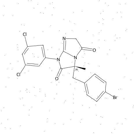 C[C@@]1(Cc2ccc(Br)cc2)C(=O)N(c2cc(Cl)cc(Cl)c2)C2=NCC(=O)N21